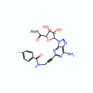 CNC(=O)C1OC(n2cnc3c(N)nc(C#CCN(C)C(=O)c4ccc(F)cc4)nc32)[C@H](O)[C@@H]1O